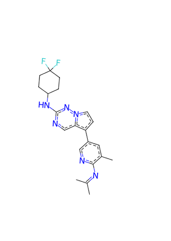 CC(C)=Nc1ncc(-c2ccn3nc(NC4CCC(F)(F)CC4)ncc23)cc1C